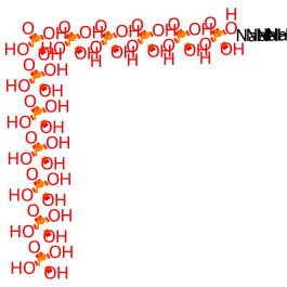 O=P(O)(O)O.O=P(O)(O)O.O=P(O)(O)O.O=P(O)(O)O.O=P(O)(O)O.O=P(O)(O)O.O=P(O)(O)O.O=P(O)(O)O.O=P(O)(O)O.O=P(O)(O)O.O=P(O)(O)O.O=P(O)(O)O.[NaH].[NaH].[NaH].[NaH]